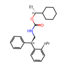 CCCc1ccccc1[C@H](CNC(=O)O[C@H](CC)C1CCCCC1)c1ccccc1